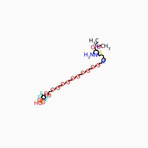 CCCN(OCC)C(=O)C1=Cc2sc(CC3CCN(CCOCCOCCOCCOCCOCCOCCOCCOCCOCCOCCC(=O)Oc4c(F)c(F)c(S(=O)(=O)O)c(F)c4F)C3)cc2N=C(N)C1